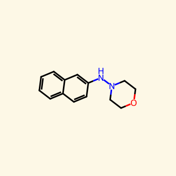 c1ccc2cc(NN3CCOCC3)ccc2c1